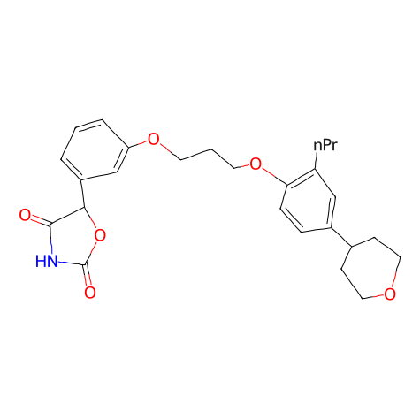 CCCc1cc(C2CCOCC2)ccc1OCCCOc1cccc(C2OC(=O)NC2=O)c1